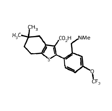 CNCc1cc(OC(F)(F)F)ccc1-c1sc2c(c1C(=O)O)CC(C)(C)CC2